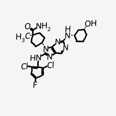 C[C@]1(C(N)=O)CC[C@H](n2c(Nc3c(Cl)cc(F)cc3Cl)nc3cnc(N[C@H]4CCC[C@@H](O)C4)nc32)CC1